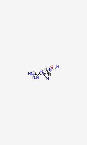 N#CCC(=O)N1C[C@@H]2C[C@@](CC#N)(n3cc(-c4ncnc5[nH]ccc45)cn3)C[C@@H]2C1